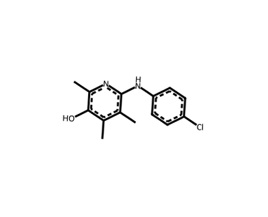 Cc1nc(Nc2ccc(Cl)cc2)c(C)c(C)c1O